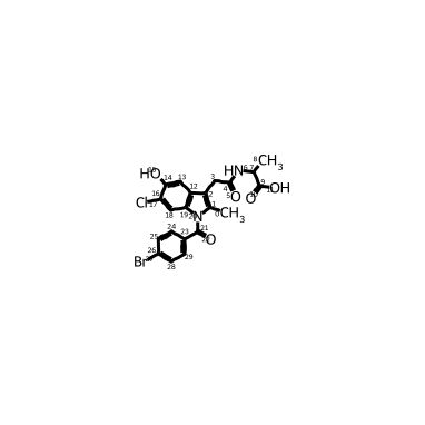 Cc1c(CC(=O)NC(C)C(=O)O)c2cc(O)c(Cl)cc2n1C(=O)c1ccc(Br)cc1